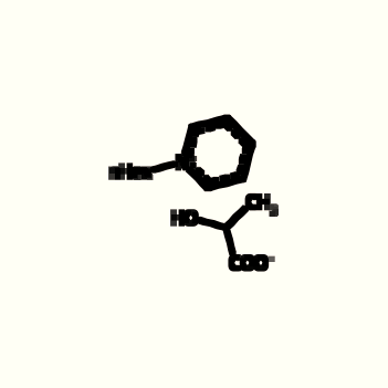 CC(O)C(=O)[O-].CCCCCC[n+]1ccccc1